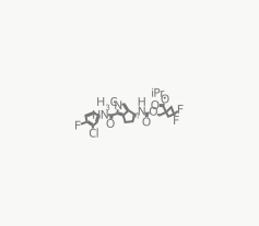 CC(C)OC(=O)C1(COC(=O)N[C@@H]2CCc3c2cn(C)c3C(=O)Nc2ccc(F)c(Cl)c2)CC(F)(F)C1